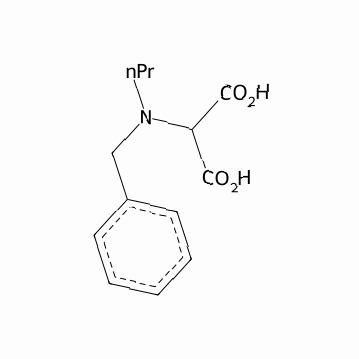 CCCN(Cc1ccccc1)C(C(=O)O)C(=O)O